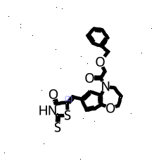 O=C1NC(=S)S/C1=C\c1ccc2c(c1)N(C(=O)COCc1ccccc1)CCCO2